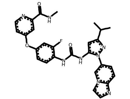 CNC(=O)c1cc(Oc2ccc(NC(=O)Nc3cc(C(C)C)nn3-c3ccc4nccn4c3)c(F)c2)ccn1